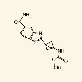 CC(C)(C)OC(=O)NC12CC(c3nc4cc(C(N)=O)ccc4s3)(C1)C2